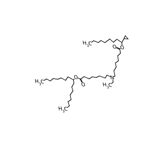 CCCCCCCCC(CCCCCCCC)OC(=O)CCCCCCCN(CC)CCCCCCCC(=O)OC(CCCCCCCC)C1CC1